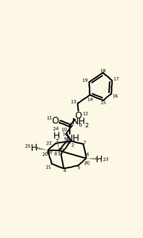 NC[C@]12CC3C[C@H](C1)[C@H](NC(=O)OCc1ccccc1)[C@@H](C3)C2